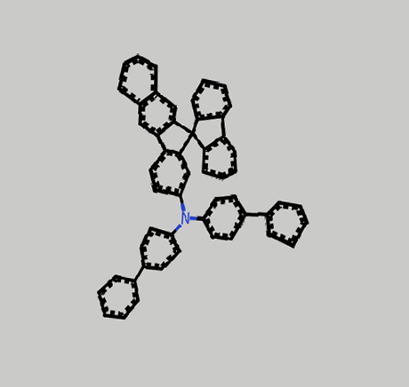 c1ccc(-c2ccc(N(c3ccc(-c4ccccc4)cc3)c3ccc4c(c3)C3(c5ccccc5-c5ccccc53)c3cc5ccccc5cc3-4)cc2)cc1